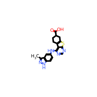 Cc1n[nH]c2ccc(Nc3ncnc4sc5c(c34)CCC(C(=O)O)C5)cc12